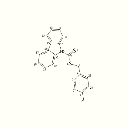 Cc1ccc(CSC(=S)n2c3ccccc3c3ccccc32)cc1